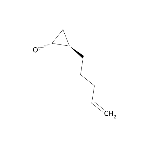 C=CCCC[C@@H]1C[C@H]1[O]